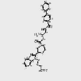 COCCCn1c(C2CCCN(C(=O)CC(N)CNC(=O)c3ccc(-c4ccccc4)cc3)C2)nc2ccccc21